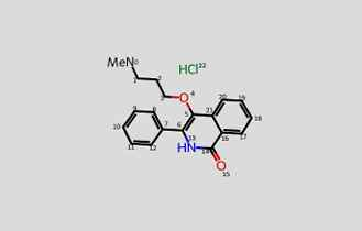 CNCCCOc1c(-c2ccccc2)[nH]c(=O)c2ccccc12.Cl